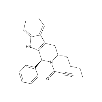 C#CC(=O)N1[C@@H](CCCC)Cc2c([nH]c(=C/C)/c2=C\C)[C@@H]1c1ccccc1